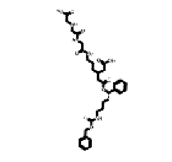 O=C(O)CNCC(=O)NCC(=O)NCCCC(CC(=O)O)CC(=O)O[C@@H](CCCCNC(=O)OCc1ccccc1)c1ccccc1